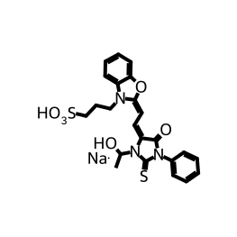 CC(O)N1C(=S)N(c2ccccc2)C(=O)C1=CC=C1Oc2ccccc2N1CCCS(=O)(=O)O.[Na]